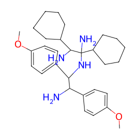 COc1ccc(C(N)C(NC(N)(C2CCCCC2)C(N)C2CCCCC2)c2ccc(OC)cc2)cc1